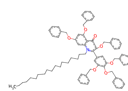 CCCCCCCCCCCCCCCCCCn1c(-c2cc(OCc3ccccc3)c(OCc3ccccc3)c(OCc3ccccc3)c2)c(OCc2ccccc2)c(=O)c2c(OCc3ccccc3)cc(OCc3ccccc3)cc21